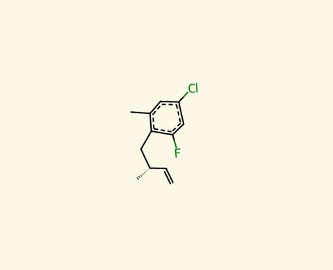 C=C[C@H](C)Cc1c(C)cc(Cl)cc1F